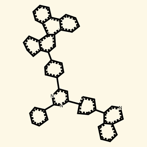 c1ccc(-c2nc(-c3ccc(-c4cncc5ccccc45)cc3)cc(-c3ccc(-c4cc5c6ccccc6c6ccccc6c5c5ccccc45)cc3)n2)cc1